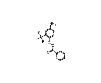 Nc1ccc(OOC(=O)c2ccccc2)c(C(F)(F)F)c1